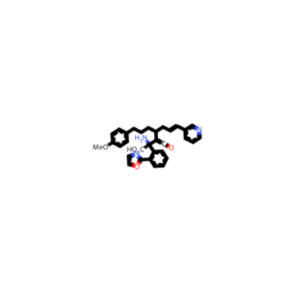 COc1ccc(CCCC(CC=Cc2cccnc2)C(=C=O)C(N)(C(=O)O)c2ccccc2-c2ncco2)cc1